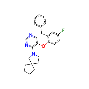 Fc1ccc(Oc2cncnc2N2CCC3(CCCC3)C2)c(Cc2ccccc2)c1